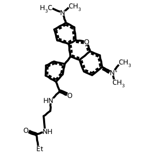 CCC(=O)NCCNC(=O)c1cccc(-c2c3ccc(=[N+](C)C)cc-3oc3cc(N(C)C)ccc23)c1